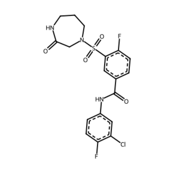 O=C1CN(S(=O)(=O)c2cc(C(=O)Nc3ccc(F)c(Cl)c3)ccc2F)CCCN1